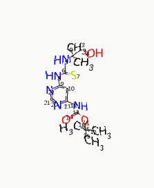 CC(C)(CO)NC(=S)Nc1cc(NC(=O)OC(C)(C)C)ncn1